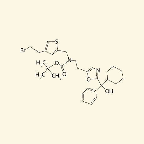 CC(C)(C)OC(=O)N(CCc1cnc(C(O)(c2ccccc2)C2CCCCC2)o1)Cc1cc(CCBr)cs1